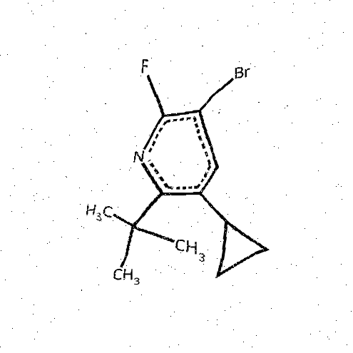 CC(C)(C)c1nc(F)c(Br)cc1C1CC1